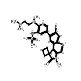 CN(C)CCN(C)c1ncc(-c2cc3c4c(cnc3cc2F)N(C)C(=O)C42CCC2)cc1NS(C)(=O)=O